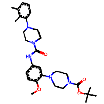 COc1ccc(NC(=O)N2CCN(c3cccc(C)c3C)CC2)cc1N1CCN(C(=O)OC(C)(C)C)CC1